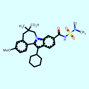 CCN(C)S(=O)(=O)NC(=O)c1ccc2c(C3CCCCC3)c3n(c2c1)CC(C)(C(=O)O)Cc1cc(OC)ccc1-3